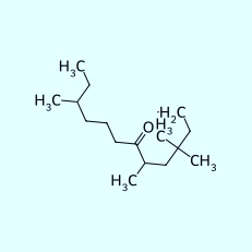 [CH2]CC(C)(C)CC(C)C(=O)CCCC(C)CC